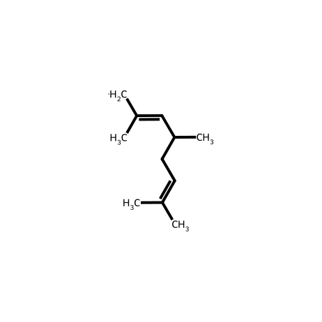 [CH2]C(C)=CC(C)CC=C(C)C